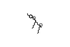 CCCCC/C(=C\COc1ccc(CC)cc1)CCC1OC1(C)CCCCC